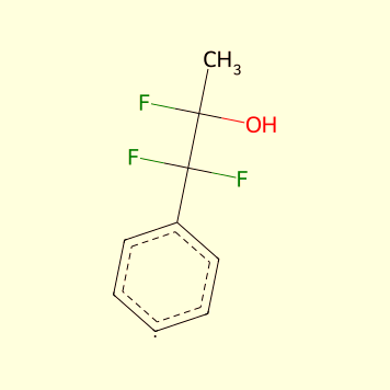 CC(O)(F)C(F)(F)c1cc[c]cc1